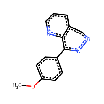 COc1ccc(-c2nncc3cccnc23)cc1